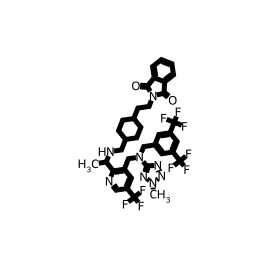 CC(NCC1CCC(CCN2C(=O)c3ccccc3C2=O)CC1)c1ncc(C(F)(F)F)cc1CN(Cc1cc(C(F)(F)F)cc(C(F)(F)F)c1)c1nnn(C)n1